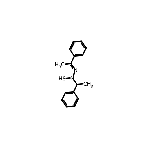 C/C(=N\N(S)C(C)c1ccccc1)c1ccccc1